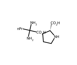 CCCC(N)(N)C(=O)O.O=C(O)[C@H]1CCCN1